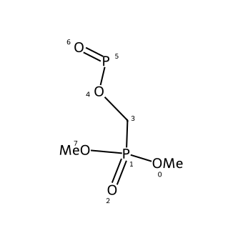 COP(=O)(COP=O)OC